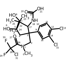 CN(CC(CC(O)CO)(c1ccc(Cl)c(Cl)c1)C(NC(=O)O)C(C)(C)C)C(=O)C(F)(F)Cl